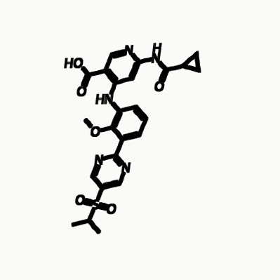 COc1c(Nc2cc(NC(=O)C3CC3)ncc2C(=O)O)cccc1-c1ncc(S(=O)(=O)C(C)C)cn1